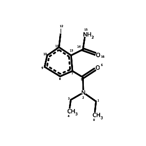 CCN(CC)C(=O)c1cccc(I)c1C(N)=O